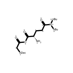 CCCCCCCCCCCC(=O)OC(=O)[C@@H](N)CCC(=O)N(CCCC)CCCC